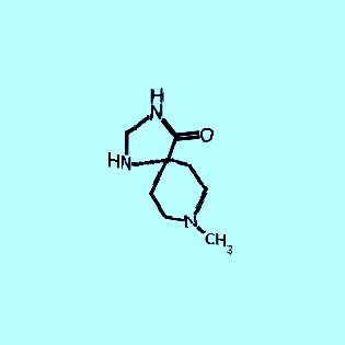 CN1CCC2(CC1)NCNC2=O